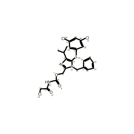 CC(C)c1nc(COC(=O)NC(=O)CCl)n(Cc2ccccc2)c1Sc1cc(Cl)cc(Cl)c1